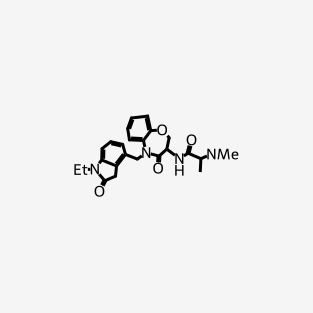 CCN1C(=O)Cc2c(CN3C(=O)C(NC(=O)C(C)NC)COc4ccccc43)cccc21